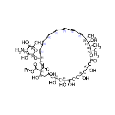 CC(C)OC(=O)[C@H]1[C@@H]2C[C@@H](O[C@@H]3O[C@H](C)[C@@H](O)[C@H](N)[C@H]3O)/C=C/C=C/C=C/C=C/C=C/C=C/C=C/[C@H](C)[C@@H](O)[C@@H](C)[C@H](C)OC(=O)C[C@H](O)C[C@H](O)CC[C@@H](O)[C@H](O)C[C@H](O)C[C@](O)(C[C@@H]1O)O2